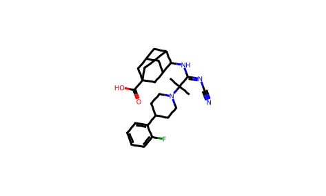 CC(C)(/C(=N\C#N)NC1C2CC3CC1CC(C(=O)O)(C3)C2)N1CCC(c2ccccc2F)CC1